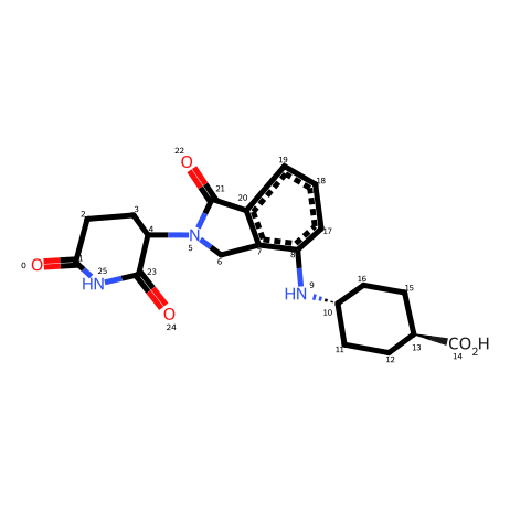 O=C1CCC(N2Cc3c(N[C@H]4CC[C@H](C(=O)O)CC4)cccc3C2=O)C(=O)N1